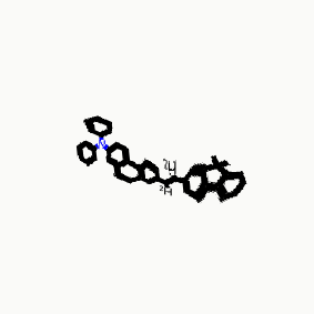 [2H]/C(=C(/[2H])c1ccc2c(ccc3cc(N(c4ccccc4)c4ccccc4)ccc32)c1)c1ccc2c(c1)C(C)(C)c1ccccc1-2